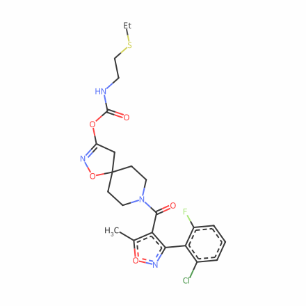 CCSCCNC(=O)OC1=NOC2(CCN(C(=O)c3c(-c4c(F)cccc4Cl)noc3C)CC2)C1